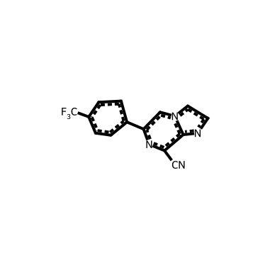 N#Cc1nc(-c2ccc(C(F)(F)F)cc2)cn2ccnc12